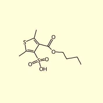 CCCCOC(=O)c1c(C)sc(C)c1S(=O)(=O)O